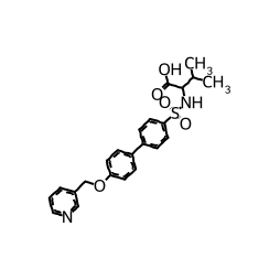 CC(C)C(NS(=O)(=O)c1ccc(-c2ccc(OCc3cccnc3)cc2)cc1)C(=O)O